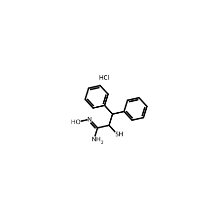 Cl.NC(=NO)C(S)C(c1ccccc1)c1ccccc1